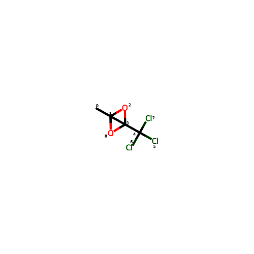 CC12OC1(C(Cl)(Cl)Cl)O2